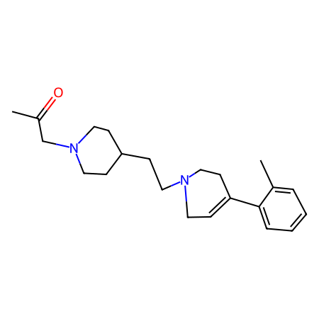 CC(=O)CN1CCC(CCN2CC=C(c3ccccc3C)CC2)CC1